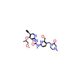 C#Cc1cnc(NC(=O)N(C)c2ccc(CN3CCN(C)CC3=O)c(C=O)n2)cc1OC(C)COC